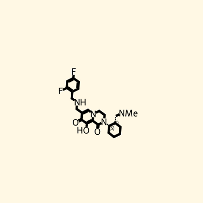 CNC[C@@H]1CCCC[C@@H]1N1CCn2cc(CNCc3ccc(F)cc3F)c(=O)c(O)c2C1=O